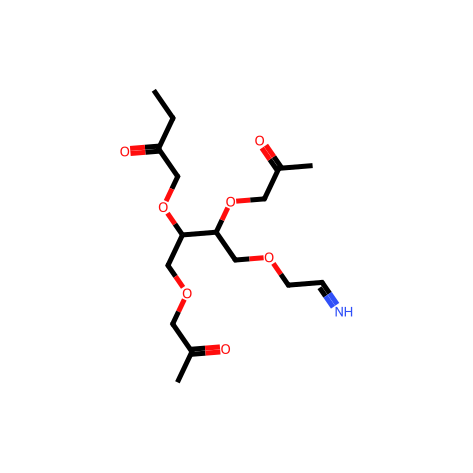 CCC(=O)COC(COCC(C)=O)C(COCC=N)OCC(C)=O